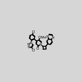 COc1cn(C2[CH]CC2c2ccc3nccnc3c2)c(=O)cc1-c1cc(Cl)ccc1-n1cc(Cl)nn1